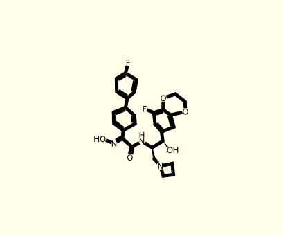 O=C(N[C@H](CN1CCC1)[C@@H](O)c1cc(F)c2c(c1)OCCO2)/C(=N/O)c1ccc(-c2ccc(F)cc2)cc1